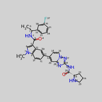 C[C@H](NC(=O)c1cn(C)c2ccc(-c3ccn4nc(NC(=O)[C@@H]5CCCN5)nc4c3)cc12)c1cccc(F)c1